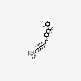 CCO[Si](CCC(F)(F)C(F)(F)C(F)(F)C(F)(F)CCOc1ccc2cc(-c3ccccc3CC)c(=O)oc2c1)(OCC)OCC